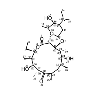 CC[C@H]1OC(=O)[C@H](C)[C@@H](O[C@H]2CC(N(C)C)[C@H](O)C(C)O2)[C@H](C)[C@@H](O)[C@@H](C)C[C@@H](C)C(=O)[C@H](C)[C@@H](O)[C@H]1C